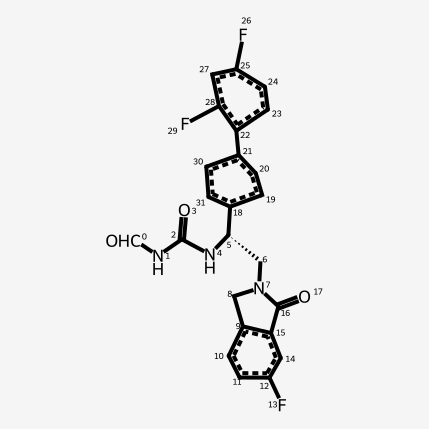 O=CNC(=O)N[C@@H](CN1Cc2ccc(F)cc2C1=O)c1ccc(-c2ccc(F)cc2F)cc1